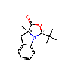 CC(C)(C)[C@@H]1OC(=O)[C@@]2(C)Cc3ccccc3N12